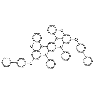 c1ccc(-c2ccc(Oc3cc4c5c(c3)N(c3ccccc3)c3cc6c(cc3B5c3ccccc3O4)B3c4ccccc4Oc4cc(Oc5ccc(-c7ccccc7)cc5)cc(c43)N6c3ccccc3)cc2)cc1